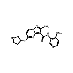 COc1ccncc1NC(=O)c1c(N)nn2ccc(OC3CCNC3)nc12